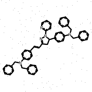 C(=Cc1ccc(N(Cc2ccccc2)Cc2ccccc2)cc1)C1=NN(c2ccccn2)C(c2ccc(N(Cc3ccccc3)Cc3ccccc3)cc2)C1